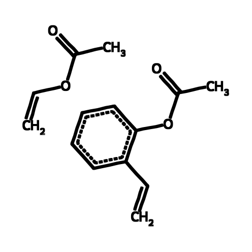 C=COC(C)=O.C=Cc1ccccc1OC(C)=O